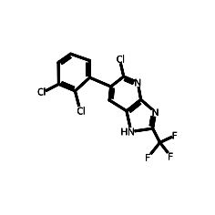 FC(F)(F)c1nc2nc(Cl)c(-c3cccc(Cl)c3Cl)cc2[nH]1